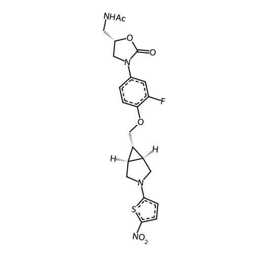 CC(=O)NC[C@H]1CN(c2ccc(OC[C@@H]3[C@H]4CN(c5ccc([N+](=O)[O-])s5)C[C@@H]34)c(F)c2)C(=O)O1